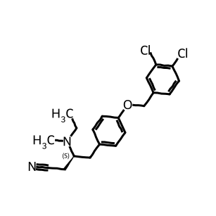 CCN(C)[C@H](CC#N)Cc1ccc(OCc2ccc(Cl)c(Cl)c2)cc1